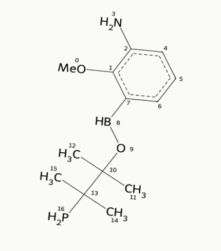 COc1c(N)cccc1BOC(C)(C)C(C)(C)P